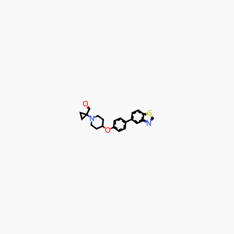 O=CC1(N2CCC(Oc3ccc(-c4ccc5scnc5c4)cc3)CC2)CC1